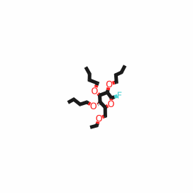 CCCCOC1C(F)OC(COCC)[C@H](OCCCC)C1OCCCC